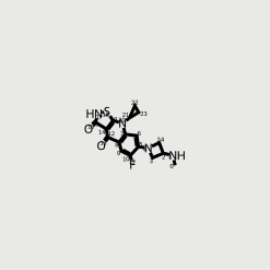 CNC1CN(c2cc3c(cc2F)c(=O)c2c(=O)[nH]sc2n3C2CC2)C1